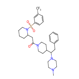 CN1CCN(C(Cc2ccccc2)C2CCN(C(=O)CC3CCCCN3S(=O)(=O)c3cccc(C(F)(F)F)c3)CC2)CC1